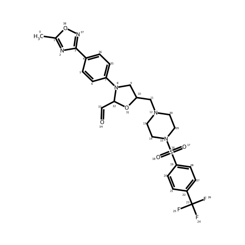 Cc1nc(-c2ccc(N3CC(CN4CCN(S(=O)(=O)c5ccc(C(F)(F)F)cc5)CC4)OC3C=O)cc2)no1